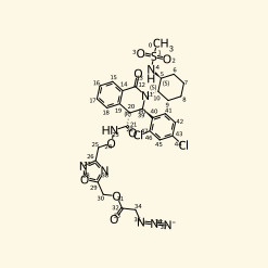 CS(=O)(=O)N[C@H]1CCCC[C@@H]1N1C(=O)c2ccccc2[C@@H](C(=O)NOCc2noc(COC(=O)CN=[N+]=[N-])n2)[C@@H]1c1ccc(Cl)cc1Cl